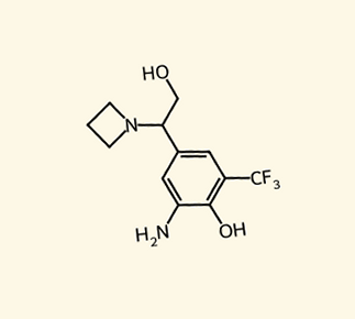 Nc1cc(C(CO)N2CCC2)cc(C(F)(F)F)c1O